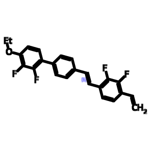 C=Cc1ccc(/C=C/c2ccc(-c3ccc(OCC)c(F)c3F)cc2)c(F)c1F